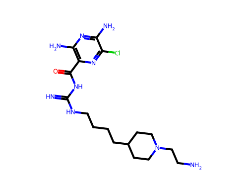 N=C(NCCCCC1CCN(CCN)CC1)NC(=O)c1nc(Cl)c(N)nc1N